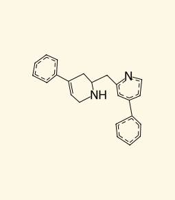 C1=C(c2ccccc2)CC(Cc2cc(-c3ccccc3)ccn2)NC1